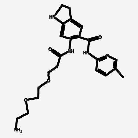 Cc1ccc(NC(=O)c2cc3c(cc2NC(=O)CCOCCOCCN)NCC3)nc1